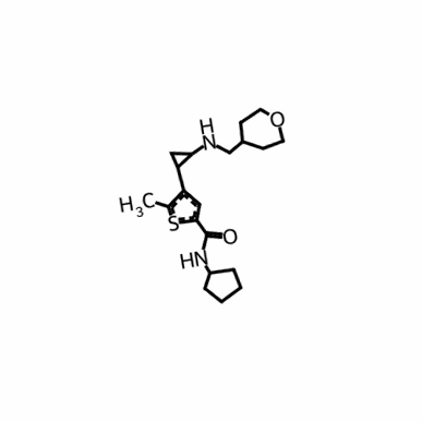 Cc1sc(C(=O)NC2CCCC2)cc1C1CC1NCC1CCOCC1